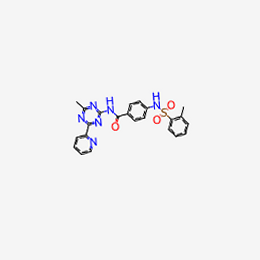 Cc1nc(NC(=O)c2ccc(NS(=O)(=O)c3ccccc3C)cc2)nc(-c2ccccn2)n1